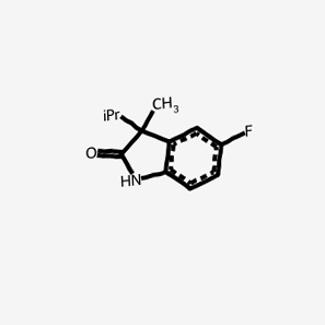 CC(C)C1(C)C(=O)Nc2ccc(F)cc21